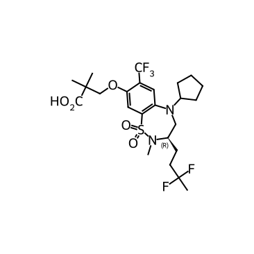 CN1[C@H](CCC(C)(F)F)CN(C2CCCC2)c2cc(C(F)(F)F)c(OCC(C)(C)C(=O)O)cc2S1(=O)=O